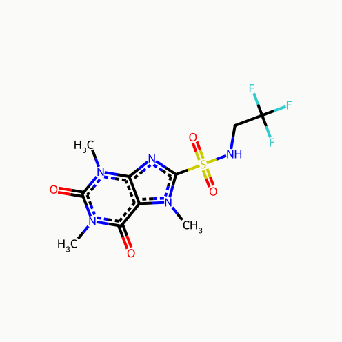 Cn1c(=O)c2c(nc(S(=O)(=O)NCC(F)(F)F)n2C)n(C)c1=O